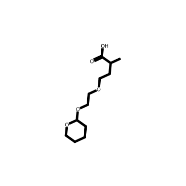 CC(CCOCCOC1CCCCO1)C(=O)O